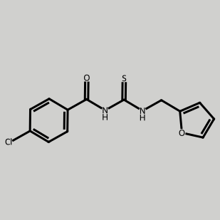 O=C(NC(=S)NCc1ccco1)c1ccc(Cl)cc1